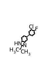 CC(C)c1nc2cc(-c3ccc(F)c(Cl)c3)ccc2[nH]1